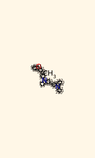 Cc1cc(-n2c3ccccc3c3cc(-c4ccc5c(c4)c4ccccc4n5-c4ccccc4)ccc32)ccc1-c1ccc2oc3ccccc3c2c1